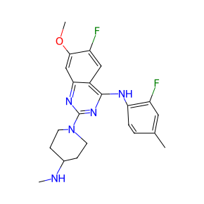 CNC1CCN(c2nc(Nc3ccc(C)cc3F)c3cc(F)c(OC)cc3n2)CC1